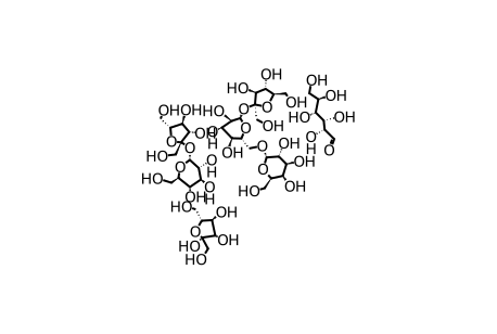 O=C[C@H](O)[C@@H](O)[C@H](O)[C@H](O)CO.OC[C@H]1O[C@@](CO)(O[C@H]2O[C@H](CO)[C@@H](O)[C@H](O)[C@H]2O)[C@@H](O)[C@@H]1O.OC[C@H]1O[C@H](OC[C@H]2O[C@H](O[C@]3(CO)O[C@H](CO)[C@@H](O)[C@@H]3O)[C@H](O)[C@@H](O)[C@@H]2O)[C@H](O)[C@@H](O)[C@H]1O.OC[C@H]1O[C@](O)(CO)[C@@H](O)[C@@H]1O